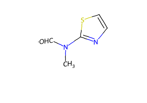 CN([C]=O)c1nccs1